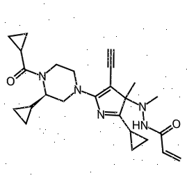 C#CC1=C(N2CCN(C(=O)C3CC3)[C@H](C3CC3)C2)N=C(C2CC2)C1(C)N(C)NC(=O)C=C